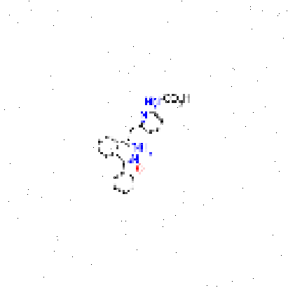 N[C@@H](Cc1cccc(NC(=O)O)n1)c1ccccc1-c1noc2ccccc12